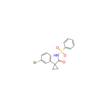 O=C(NS(=O)(=O)c1ccccc1)C1(c2cccc(Br)c2)CC1